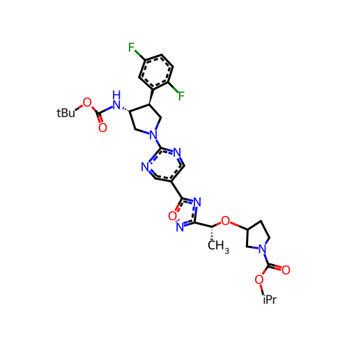 CC(C)OC(=O)N1CCC(O[C@H](C)c2noc(-c3cnc(N4C[C@H](NC(=O)OC(C)(C)C)[C@@H](c5cc(F)ccc5F)C4)nc3)n2)C1